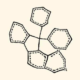 c1ccc(C2(c3ccccc3)c3ccccc3-c3ccc4cncnc4c32)cc1